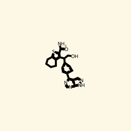 NC(=O)c1sc2c(c1C(CO)c1ccc(-c3ncnc4[nH]ncc34)cc1)CCCC2